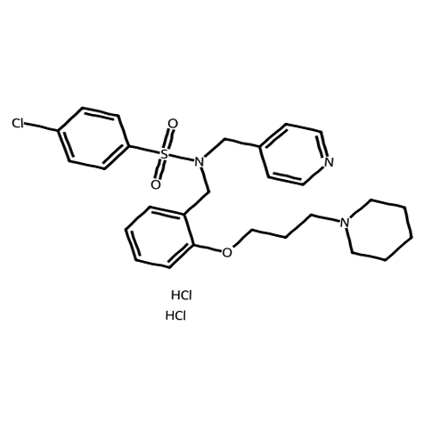 Cl.Cl.O=S(=O)(c1ccc(Cl)cc1)N(Cc1ccncc1)Cc1ccccc1OCCCN1CCCCC1